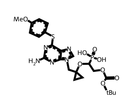 COc1ccc(Sc2nc(N)nc3c2ncn3CC2(OC(COC(=O)OC(C)(C)C)P(=O)(O)O)CC2)cc1